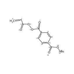 C=CC(=O)OOC(=O)c1ccc(C(=O)OCCCC)cc1